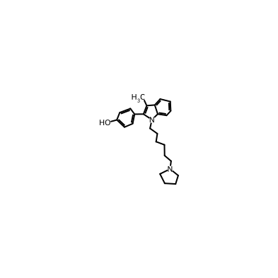 Cc1c(-c2ccc(O)cc2)n(CCCCCCN2CCCC2)c2ccccc12